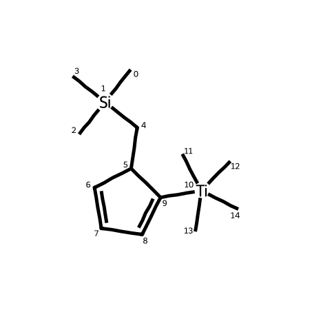 C[Si](C)(C)CC1C=CC=[C]1[Ti]([CH3])([CH3])([CH3])[CH3]